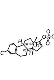 C[C@]12CC[C@@H]3c4ccc(C#N)cc4CC[C@H]3[C@@H]1CC=C2OS(=O)(=O)C(F)(F)F